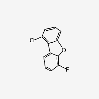 Fc1cccc2c1oc1cccc(Cl)c12